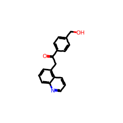 O=C(Cc1cccc2ncccc12)c1ccc(CO)cc1